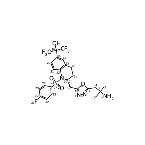 CC(C)(N)Cc1nnc(C[C@@H]2CCc3cc(C(O)(C(F)(F)F)C(F)(F)F)ccc3N2S(=O)(=O)c2ccc(F)cc2)o1